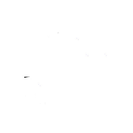 CC(=O)N[C@@H](C)c1ccc(O[C@@H]2CCN(c3ncnc(Cl)c3Cl)C2)cc1